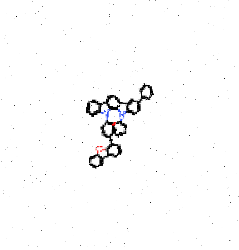 c1ccc(-c2ccc3c(c2)c2ccc4c5ccccc5n(-c5ccc(-c6cccc7c6oc6ccccc67)cc5)c4c2n3-c2ccccc2)cc1